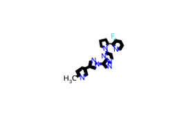 Cc1ccc(-c2cnn(-c3cnn4ccc(N5CCC[C@H]5c5ncccc5F)nc34)c2)cn1